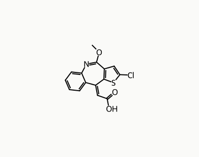 COC1=Nc2ccccc2/C(=C/C(=O)O)c2sc(Cl)cc21